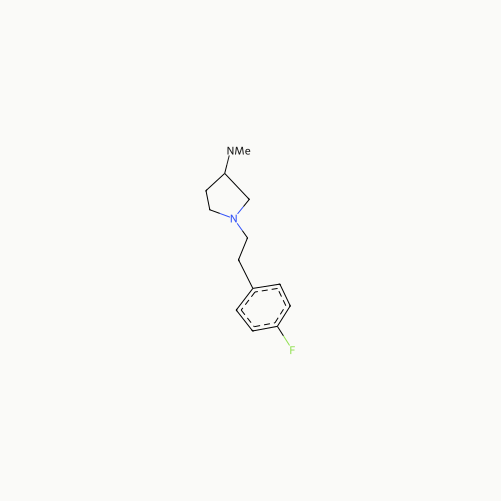 CNC1CCN(CCc2ccc(F)cc2)C1